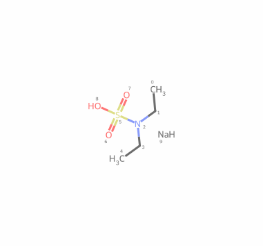 CCN(CC)S(=O)(=O)O.[NaH]